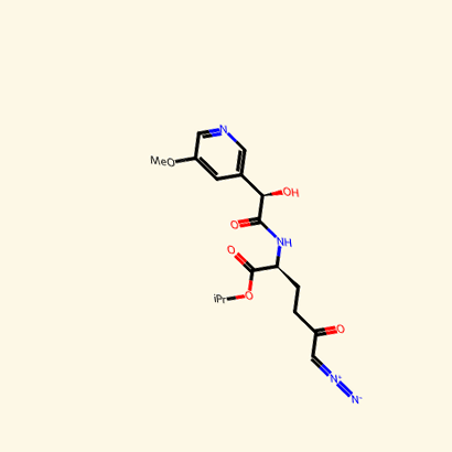 COc1cncc([C@@H](O)C(=O)N[C@@H](CCC(=O)C=[N+]=[N-])C(=O)OC(C)C)c1